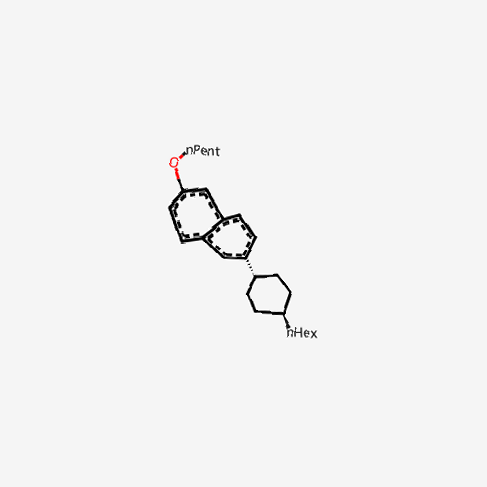 CCCCCC[C@H]1CC[C@H](c2ccc3cc(OCCCCC)ccc3c2)CC1